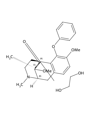 COc1ccc2c(c1Oc1ccccc1)[C@]13CCN(C)[C@H](C2)C1(OC)C[C@H](C)C(=O)C3.OCCO